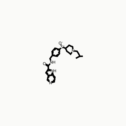 CC(C)CN1CCC([S+]([O-])c2ccc(CNC(=O)c3cc4cnccc4[nH]3)cc2)CC1